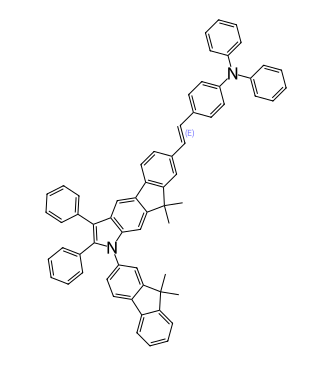 CC1(C)c2ccccc2-c2ccc(-n3c(-c4ccccc4)c(-c4ccccc4)c4cc5c(cc43)C(C)(C)c3cc(/C=C/c4ccc(N(c6ccccc6)c6ccccc6)cc4)ccc3-5)cc21